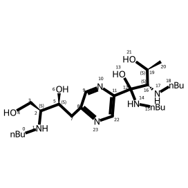 CCCCN[C@@H](CO)[C@@H](O)Cc1cnc(C(O)(NCCCC)[C@@H](NCCCC)[C@H](C)O)cn1